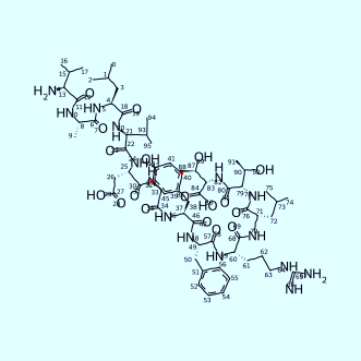 CC(C)C[C@H](NC(=O)[C@H](C)NC(=O)[C@@H](N)C(C)C)C(=O)N[C@H](C(=O)N[C@@H](CC(=O)O)C(=O)NCC(=O)N[C@@H](Cc1ccc(O)cc1)C(=O)N[C@@H](Cc1ccccc1)C(=O)N[C@@H](CCCNC(=N)N)C(=O)N[C@@H](CC(C)C)C(=O)N[C@H](C(=O)N[C@H](C(=O)O)[C@@H](C)O)[C@@H](C)O)C(C)C